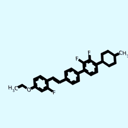 CCOc1ccc(/C=C/c2ccc(-c3ccc(C4CCC(C)CC4)c(F)c3F)cc2)c(F)c1